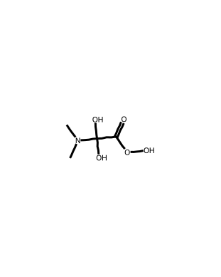 CN(C)C(O)(O)C(=O)OO